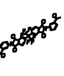 CC(=O)c1cccc(N2C(=O)c3ccc(C(c4ccc5c(c4)C(=O)N(c4cccc(C(C)=O)c4)C5=O)(C(F)(F)F)C(F)(F)F)cc3C2=O)c1